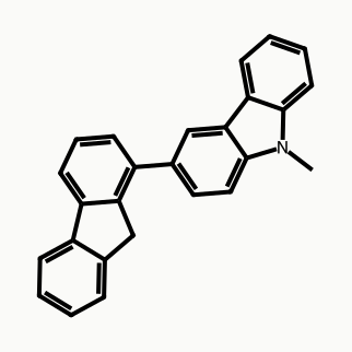 Cn1c2ccccc2c2cc(-c3cccc4c3Cc3ccccc3-4)ccc21